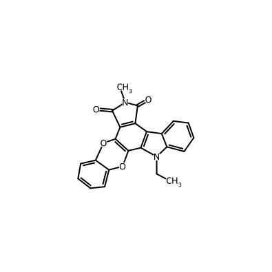 CCn1c2ccccc2c2c3c(=O)n(C)c(=O)c3c3oc4ccccc4oc3c21